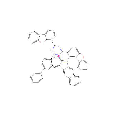 c1ccc(-c2ccc(-c3nc(-c4ccc5oc6ccccc6c5c4-n4c5ccccc5c5cc6ccccc6cc54)nc(-c4cccc5c4oc4ccccc45)n3)cc2)cc1